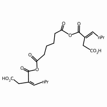 CCCC=C(CC(=O)O)C(=O)OC(=O)CCCCC(=O)OC(=O)C(=CCCC)CC(=O)O